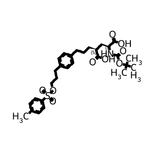 Cc1ccc(S(=O)(=O)OCCCc2ccc(CCC[C@@H](C[C@H](NC(=O)OC(C)(C)C)C(=O)O)C(=O)O)cc2)cc1